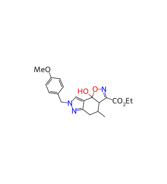 CCOC(=O)C1=NOC2(O)c3cn(Cc4ccc(OC)cc4)nc3CC(C)C12